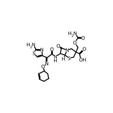 NC(=O)OCC1(C(=O)O)CS[C@@H]2C(NC(=O)C(=NOC3C=CCCC3)c3csc(N)n3)C(=O)N2C1